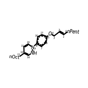 CCCCC/C=C/COc1ccc(N2C=CC(CCCCCCCC)=CN2)cc1